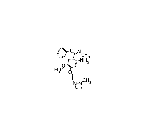 C/N=C(/Oc1ccccc1)c1cc(OC)c(OCCN2CCN2C)cc1N